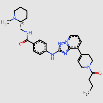 CN1CCCC[C@@H]1CNC(=O)c1ccc(Nc2nc3c(C4=CCN(C(=O)CCC(F)(F)F)CC4)cccn3n2)cc1